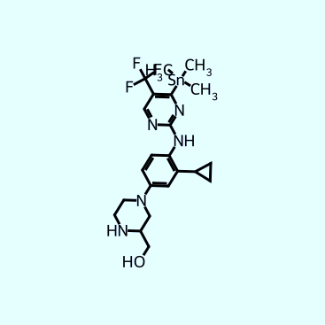 [CH3][Sn]([CH3])([CH3])[c]1nc(Nc2ccc(N3CCNC(CO)C3)cc2C2CC2)ncc1C(F)(F)F